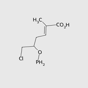 CC(=CCC(CCl)OP)C(=O)O